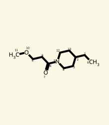 CCC1CCN(C(=O)CCOC)CC1